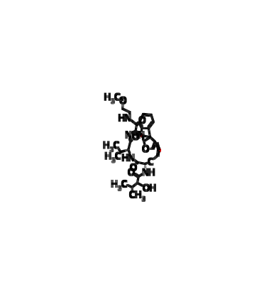 COCCNC(=O)c1nc2oc1C13c4ccccc4NC1Oc1ccc(cc13)C[C@H](NC(=O)C(O)C(C)C)C(=O)N[C@H]2C(C)C